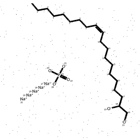 CCCCCCCC/C=C\CCCCCCCCC([O-])C[O-].O=P([O-])([O-])[O-].[Na+].[Na+].[Na+].[Na+].[Na+]